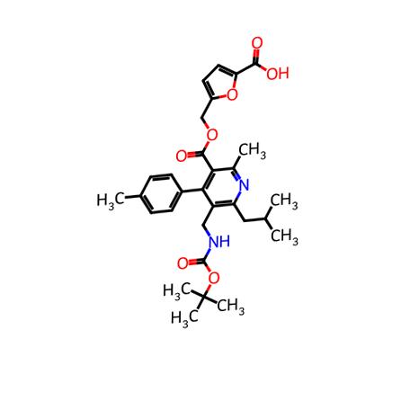 Cc1ccc(-c2c(CNC(=O)OC(C)(C)C)c(CC(C)C)nc(C)c2C(=O)OCc2ccc(C(=O)O)o2)cc1